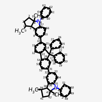 CC1CCC2(C)C1c1cc(-c3ccc4c(c3)C(c3ccccc3)(c3ccccc3)c3cc(-c5ccc6c(c5)C5C(C)CCC5(C)N6c5ccccc5)ccc3-4)ccc1N2c1ccccc1